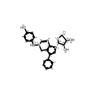 C[C@H]1O[C@@H](n2cc(-c3ccccc3)c3c2N=CN(Nc2ccc(O)cc2)C3)[C@H](O)[C@@H]1O